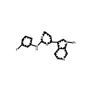 CC(C)n1cc(-c2ccnc(Nc3cccc(F)c3)n2)c2ccncc21